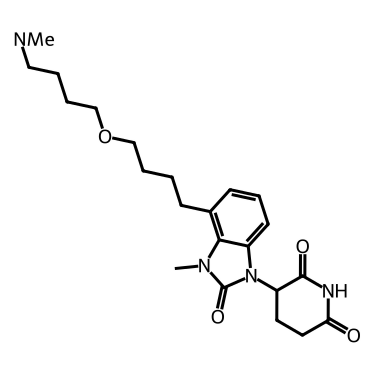 CNCCCCOCCCCc1cccc2c1n(C)c(=O)n2C1CCC(=O)NC1=O